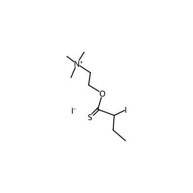 CCC(I)C(=S)OCC[N+](C)(C)C.[I-]